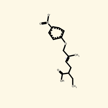 CCC(C/C=C(\C)COc1ccc([N+](=O)[O-])cc1)C(=O)O